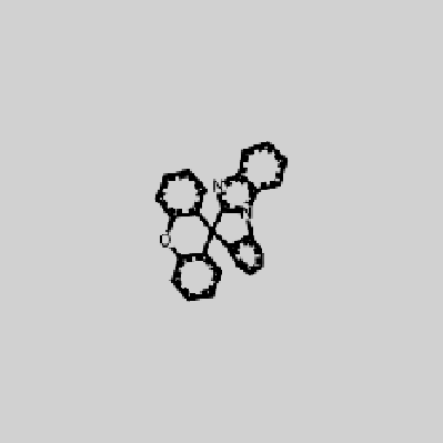 c1ccc2c(c1)Oc1ccccc1C21c2ccccc2-n2c1nc1ccccc12